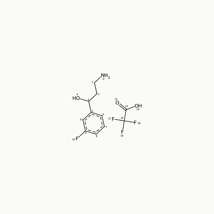 NCCC(O)c1cccc(F)c1.O=C(O)C(F)(F)F